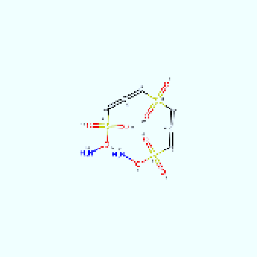 NOS(=O)(=O)C=C=CS(=O)(=O)C=C=CS(=O)(=O)ON